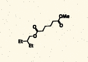 CCC(CC)COC(=O)CCCCC(=O)OC